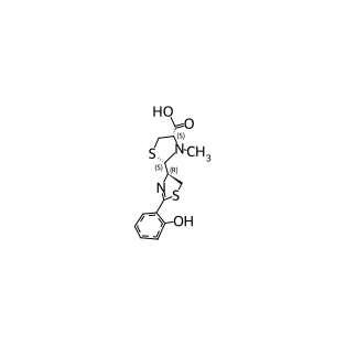 CN1[C@@H](C(=O)O)CS[C@H]1[C@H]1CSC(c2ccccc2O)=N1